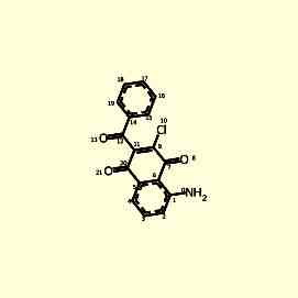 Nc1cccc2c1C(=O)C(Cl)=C(C(=O)c1ccccc1)C2=O